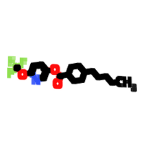 CCCCCC1CCC(C(=O)Oc2ccc(OC(F)(F)F)nc2)CC1